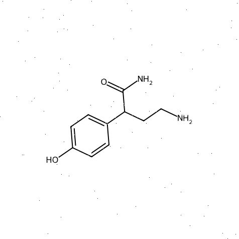 NCCC(C(N)=O)c1ccc(O)cc1